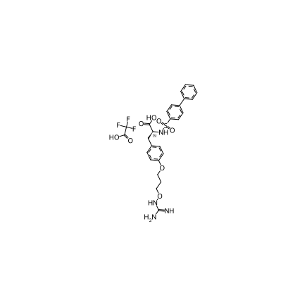 N=C(N)NOCCCOc1ccc(C[C@H](NS(=O)(=O)c2ccc(-c3ccccc3)cc2)C(=O)O)cc1.O=C(O)C(F)(F)F